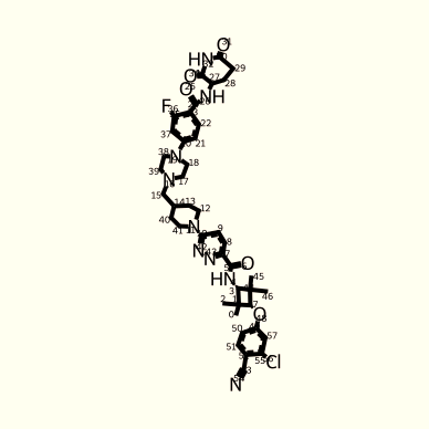 CC1(C)[C@H](NC(=O)c2ccc(N3CCC(CN4CCN(c5ccc(C(=O)NC6CCC(=O)NC6=O)c(F)c5)CC4)CC3)nn2)C(C)(C)[C@H]1Oc1ccc(C#N)c(Cl)c1